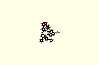 Cc1c(-c2ccccc2)ccc2c1N(c1cccc(C3CCCC3)c1)C1=c3ccc4c5c(ccc(c35)C(C1)N(c1cccc(C3CCCC3)c1)c1c(ccc(-c3ccccc3)c1C)C2)[C@@H](C(C)(C)C)C=4